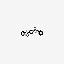 O=C(Sc1ccccn1)C1CCN(C(=O)OCc2ccccc2)CC1